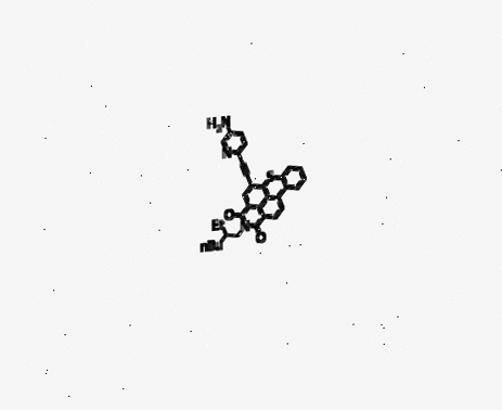 CCCCC(CC)Cn1c(=O)c2ccc3c4ccccc4sc4c(C#Cc5ccc(N)cn5)cc(c1=O)c2c43